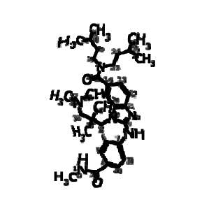 CNC(=O)c1ccc(Nc2nc3ccc(C(=O)N(CCC(C)C)CCC(C)C)cc3n2CC(C)(C)CN(C)C)cc1